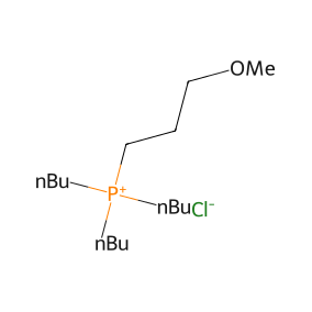 CCCC[P+](CCCC)(CCCC)CCCOC.[Cl-]